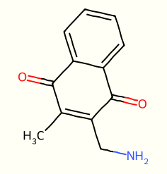 CC1=C(CN)C(=O)c2ccccc2C1=O